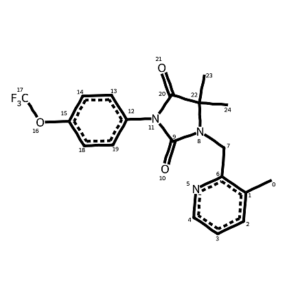 Cc1cccnc1CN1C(=O)N(c2ccc(OC(F)(F)F)cc2)C(=O)C1(C)C